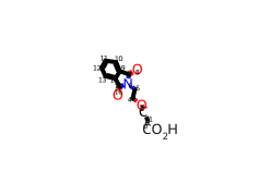 O=C(O)CCOCCN1C(=O)c2ccccc2C1=O